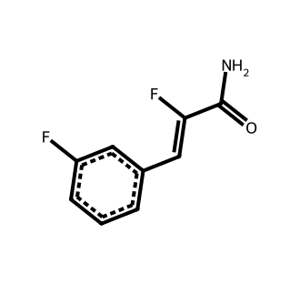 NC(=O)/C(F)=C/c1cccc(F)c1